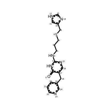 O=c1[nH]c(NCCCSCc2c[nH]cn2)ncc1Cc1cccnc1